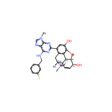 CC(C)n1cnc2c(NCc3cccc(F)c3)nc(-c3cc(O)c4c5c3C[C@@H]3[C@@H]6C=C[C@H](O)[C@H](O4)[C@]56CCN3C)nc21